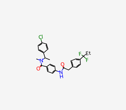 CCC(F)(F)c1ccc(CC(=O)Nc2ccc(C(=O)N(C)C(C)c3ccc(Cl)cc3)cc2)cc1